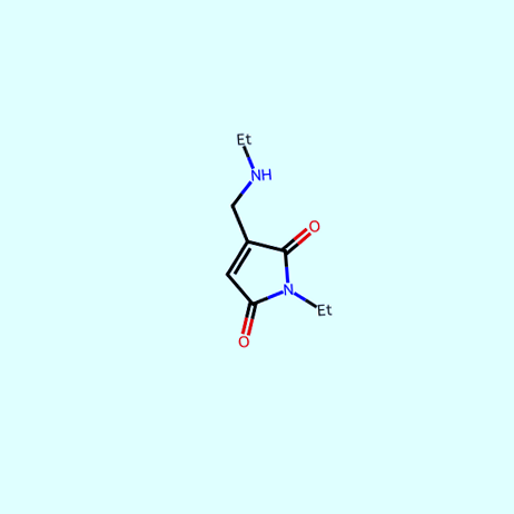 CCNCC1=CC(=O)N(CC)C1=O